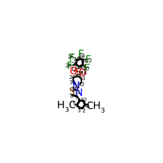 Cc1ccc(C)c(-c2csc(N3CCC(S(=O)(=O)c4c(F)c(F)c(F)c(F)c4F)CC3)n2)c1